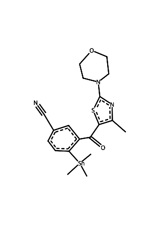 Cc1nc(N2CCOCC2)sc1C(=O)c1cc(C#N)cc[c]1[Sn]([CH3])([CH3])[CH3]